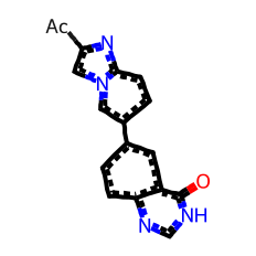 CC(=O)c1cn2cc(-c3ccc4nc[nH]c(=O)c4c3)ccc2n1